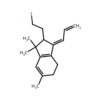 C=C/C=C1/C2=C(C=C(C)CC2)C(C)(C)C1CCI